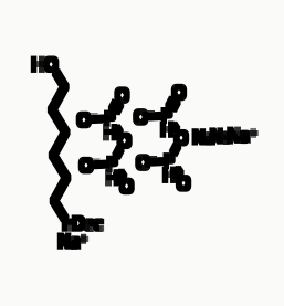 CCCCCCCCCCCCCCCCO.O=[PH]([O-])O[PH](=O)[O-].O=[PH]([O-])O[PH](=O)[O-].[Na+].[Na+].[Na+].[Na+]